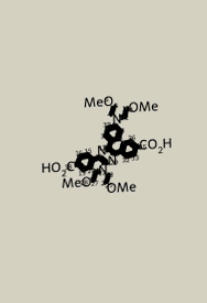 COCCN(CCOC)c1ccc(-c2nc(-c3ccc(C(=O)O)cc3)c(N(CCOC)CCOC)nc2-c2ccc(C(=O)O)cc2)cc1